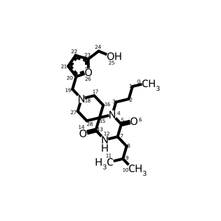 CCCCN1C(=O)C(CC(C)C)NC(=O)C12CCN(Cc1ccc(CO)o1)CC2